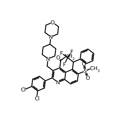 CS(=O)(=O)c1ccc2nc(-c3ccc(Cl)c(Cl)c3)c(CN3CCC(N4CCOCC4)CC3)c(C(N)=O)c2c1C(c1ccccc1)C(F)(F)F